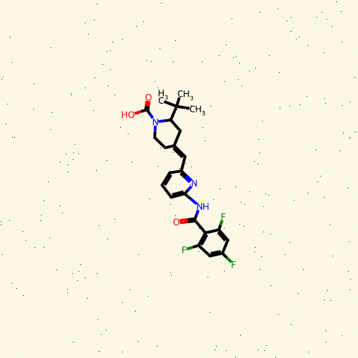 CC(C)(C)C1CC(=Cc2cccc(NC(=O)c3c(F)cc(F)cc3F)n2)CCN1C(=O)O